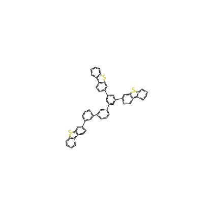 c1cc(-c2cccc(-c3ccc4c(c3)sc3ccccc34)c2)cc(-c2cc(-c3ccc4c(c3)sc3ccccc34)cc(-c3ccc4c(c3)sc3ccccc34)c2)c1